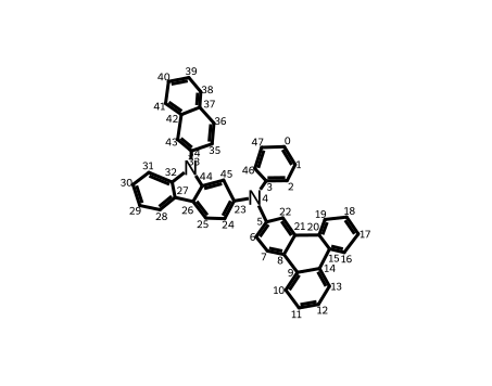 c1ccc(N(c2ccc3c4ccccc4c4ccccc4c3c2)c2ccc3c4ccccc4n(-c4ccc5ccccc5c4)c3c2)cc1